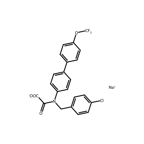 O=C([O-])C(=O)N(Cc1ccc(Cl)cc1)c1ccc(-c2ccc(OC(F)(F)F)cc2)cc1.[Na+]